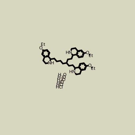 CCOc1ccc2c(c1)CCNC2CCCCC(CCC1NCCc2cc(OCC)ccc21)CCC1NCCc2cc(OCC)ccc21.Cl.Cl.Cl.O.O.O